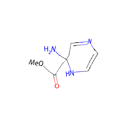 COC(=O)C1(N)C=NC=CN1